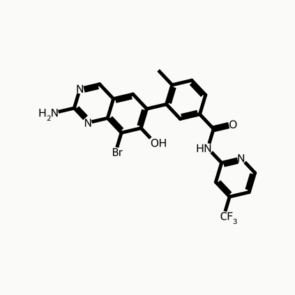 Cc1ccc(C(=O)Nc2cc(C(F)(F)F)ccn2)cc1-c1cc2cnc(N)nc2c(Br)c1O